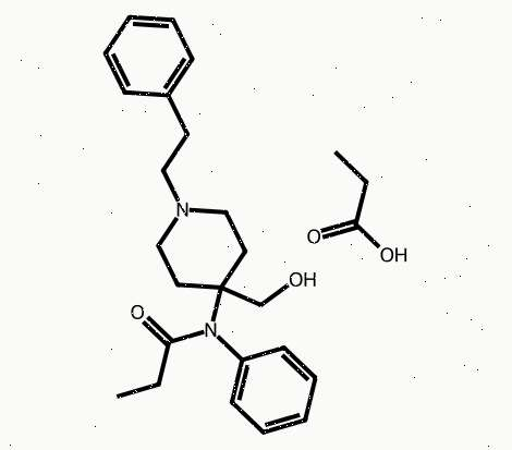 CCC(=O)N(c1ccccc1)C1(CO)CCN(CCc2ccccc2)CC1.CCC(=O)O